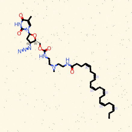 CC/C=C\C/C=C\C/C=C\C/C=C\C/C=C\C/C=C\CCC(=O)NCCN(C)CCNC(=O)OC[C@H]1OC(n2cc(C)c(=O)[nH]c2=O)C[C@@H]1N=[N+]=[N-]